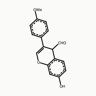 COc1ccc(C2=COc3cc(O)ccc3C2C=O)cc1